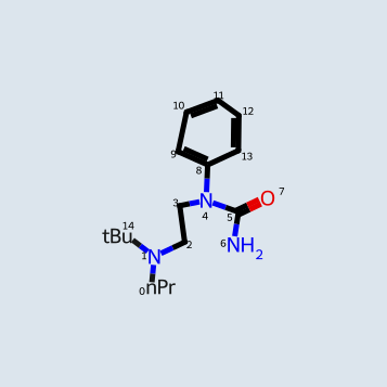 CCCN(CCN(C(N)=O)c1ccccc1)C(C)(C)C